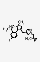 C[C@@H](O)c1cc(F)ccc1-c1nn(C)cc1Cc1cnn(CC2(C)CC2)c1